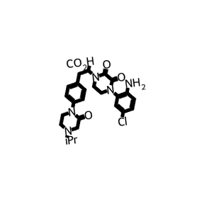 CC(C)N1CCN(c2ccc(CC(C(=O)O)N3CCN(c4cc(Cl)ccc4N)C(=O)C3=O)cc2)C(=O)C1